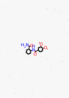 COc1ccc(C(=O)Nc2ccccc2C(N)=O)cc1OC